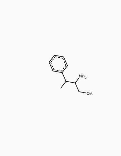 CC(c1ccccc1)C(N)CO